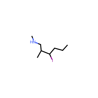 CCCC(I)C(C)CNC